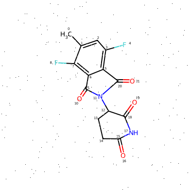 Cc1cc(F)c2c(c1F)C(=O)N(C1CCC(=O)NC1=O)C2=O